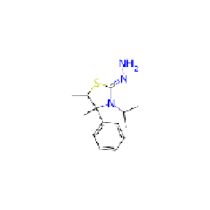 CC(C)N1/C(=N/N)SC(C)C1(C)c1ccccc1